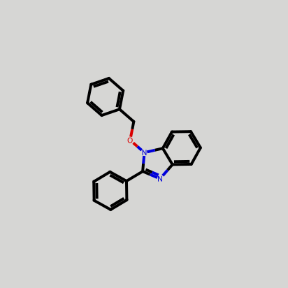 c1ccc(COn2c(-c3ccccc3)nc3ccccc32)cc1